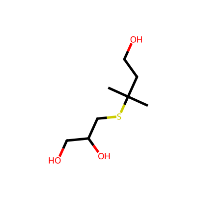 CC(C)(CCO)SCC(O)CO